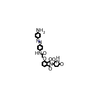 Nc1ccc(/N=N/c2ccc(NC(=O)COc3cccc4c3C(=O)N(C3CCC(=O)NC3=O)C4=O)cc2)cc1